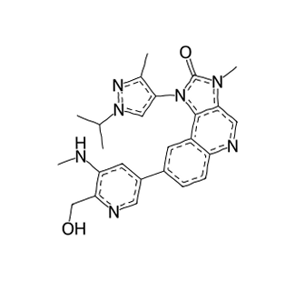 CNc1cc(-c2ccc3ncc4c(c3c2)n(-c2cn(C(C)C)nc2C)c(=O)n4C)cnc1CO